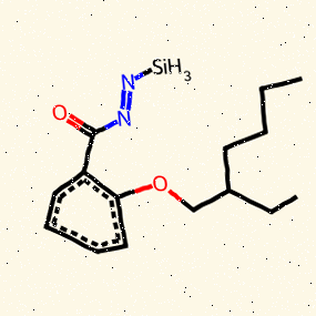 CCCCC(CC)COc1ccccc1C(=O)N=N[SiH3]